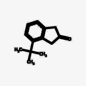 CC(C)(C)c1cccc2c1CC(=O)C2